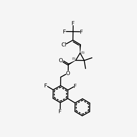 CC1(C)[C@H](C=C(Cl)C(F)(F)F)[C@@H]1C(=O)OCc1c(F)cc(F)c(-c2ccccc2)c1F